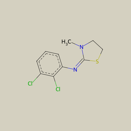 CN1CCSC1=Nc1cccc(Cl)c1Cl